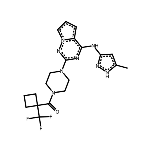 Cc1cc(Nc2nc(N3CCN(C(=O)C4(C(F)(F)F)CCC4)CC3)nn3cccc23)n[nH]1